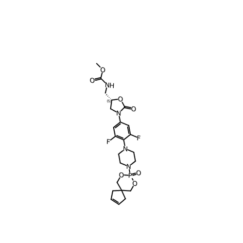 COC(=O)NC[C@H]1CN(c2cc(F)c(N3CCN(P4(=O)OCC5(CC=CC5)CO4)CC3)c(F)c2)C(=O)O1